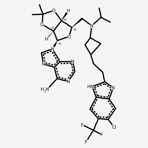 CC(C)N(C[C@H]1O[C@@H](n2cnc3c(N)ncnc32)[C@H]2OC(C)(C)O[C@@H]21)C1CC(CCc2nc3cc(Cl)c(C(F)(F)F)cc3[nH]2)C1